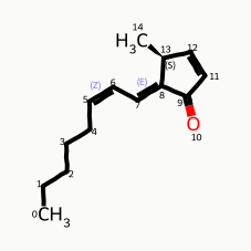 CCCCC/C=C\C=C1\C(=O)C=C[C@@H]1C